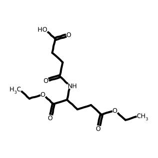 CCOC(=O)CCC(NC(=O)CCC(=O)O)C(=O)OCC